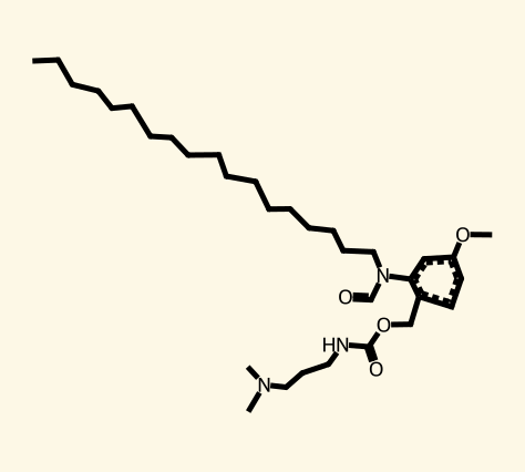 CCCCCCCCCCCCCCCCCCN(C=O)c1cc(OC)ccc1COC(=O)NCCCN(C)C